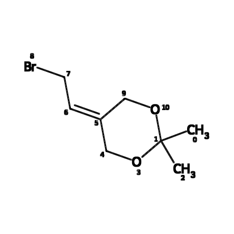 CC1(C)OCC(=CCBr)CO1